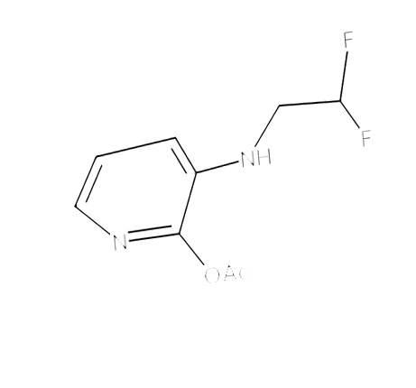 CC(=O)Oc1ncccc1NCC(F)F